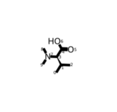 CC(C)[C@H](C(=O)O)N(C)C